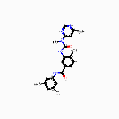 CNc1cc(N(C)C(=O)Nc2cc(C(=O)Nc3cc(OC)cc(C(F)(F)F)c3)ccc2C)ncn1